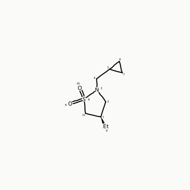 CC[C@@H]1CN(CC2CC2)S(=O)(=O)C1